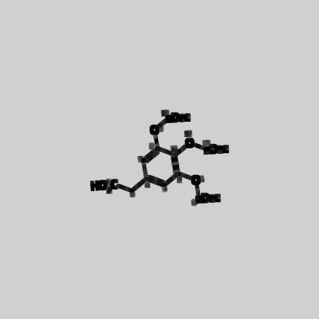 CCCCCCCCCCOc1cc(CC(=O)O)cc(OCCCCCCCCCC)c1OCCCCCCCCCC